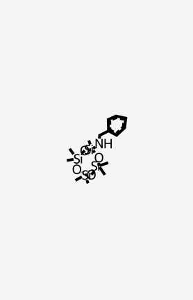 C[Si]1(C)O[Si](C)(C)O[Si](C)(NCc2ccccc2)O[Si](C)(C)O1